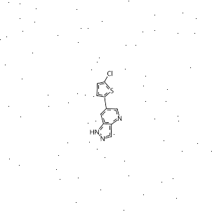 Clc1ccc(-c2cnc3cn[nH]c3c2)s1